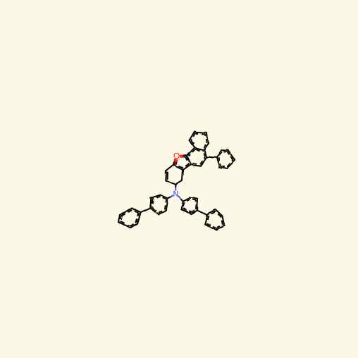 C1=CC(N(c2ccc(-c3ccccc3)cc2)c2ccc(-c3ccccc3)cc2)Cc2c1oc1c2cc(-c2ccccc2)c2ccccc21